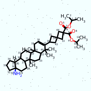 CC(C)OC(=O)C1(C(=O)OC(C)C)CC2(CC(C3=CCC4(C)C(CCC5(C)C6CCC7(N)CCC[C@@H]7C6CCC54)C3(C)C)C2)C1